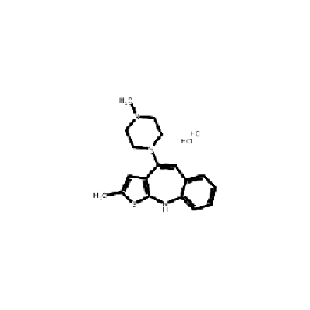 Cc1cc2c(s1)Nc1ccccc1C=C2N1CCN(C)CC1.Cl.Cl